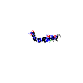 Cc1cccc(NC(=O)c2ccc(-c3nn4c(c3C(N)=O)Nc3ccc(N5CCN(C[C@H]6CCN(c7ccc(N8CCC(=O)NC8=O)cc7)C6)CC5)cc3CC4)c(F)c2C)n1